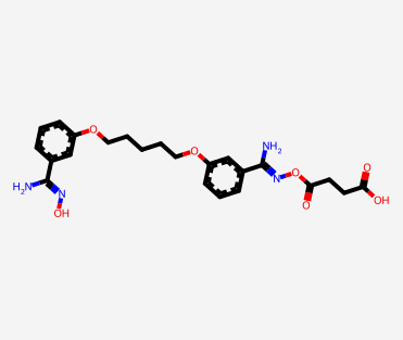 N/C(=N\O)c1cccc(OCCCCCOc2cccc(/C(N)=N/OC(=O)CCC(=O)O)c2)c1